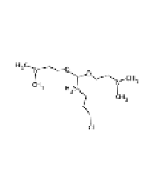 CN(C)CCOC(OCCN(C)C)[SiH2]CCCCl